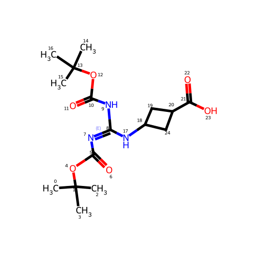 CC(C)(C)OC(=O)/N=C(/NC(=O)OC(C)(C)C)NC1CC(C(=O)O)C1